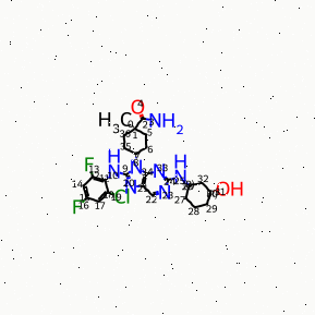 C[C@]1(C(N)=O)CC[C@H](n2c(Nc3c(F)cc(F)cc3Cl)nc3cnc(N[C@@H]4CCC[C@@H](O)C4)nc32)CC1